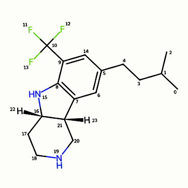 CC(C)CCc1cc2c(c(C(F)(F)F)c1)N[C@H]1CCNC[C@@H]21